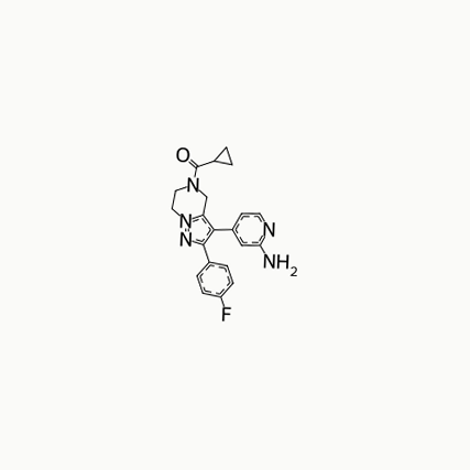 Nc1cc(-c2c(-c3ccc(F)cc3)nn3c2CN(C(=O)C2CC2)CC3)ccn1